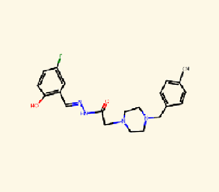 N#Cc1ccc(CN2CCN(CC(=O)N/N=C/c3cc(F)ccc3O)CC2)cc1